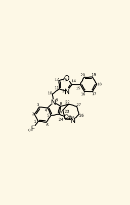 Fc1ccc2c(c1)c1c(n2Cc2coc(-c3ccccc3)n2)C2CCN(CC2)C1